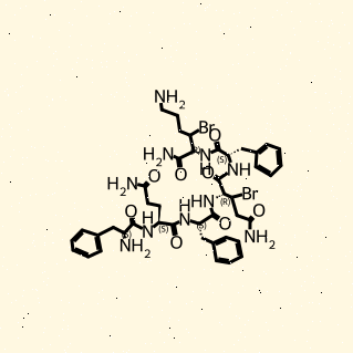 NCCCC(Br)[C@H](NC(=O)[C@H](Cc1ccccc1)NC(=O)[C@@H](NC(=O)[C@H](Cc1ccccc1)NC(=O)[C@H](CCC(N)=O)NC(=O)[C@@H](N)Cc1ccccc1)C(Br)CC(N)=O)C(N)=O